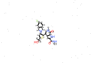 CCNC(=O)c1cc2c(-c3sc(C(C)(C)O)cc3N3Cc4ccc(F)cc4C3)cn(C)c(=O)c2[nH]1